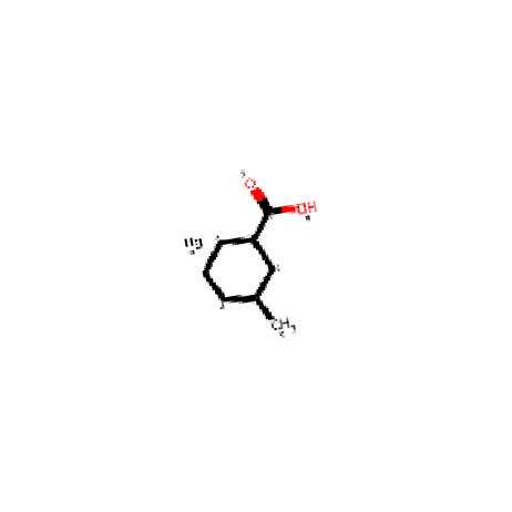 CC1CCCC(C(=O)O)C1.[Hg]